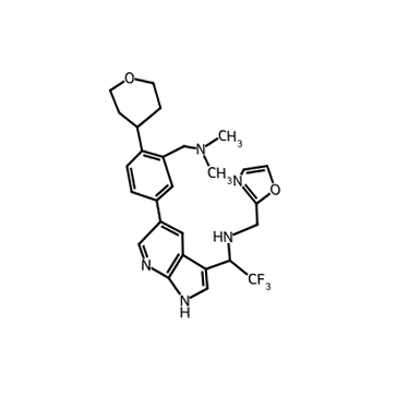 CN(C)Cc1cc(-c2cnc3[nH]cc(C(NCc4ncco4)C(F)(F)F)c3c2)ccc1C1CCOCC1